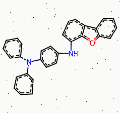 c1ccc(N(c2ccccc2)c2ccc(Nc3cccc4c3oc3ccccc34)cc2)cc1